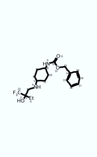 CCC(O)(CNC1CCC(NC(=O)OCc2ccccc2)CC1)C(F)(F)F